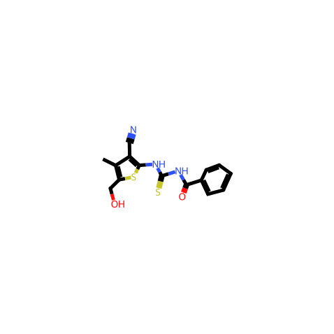 Cc1c(CO)sc(NC(=S)NC(=O)c2ccccc2)c1C#N